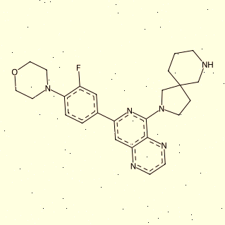 Fc1cc(-c2cc3nccnc3c(N3CCC4(CCCNC4)C3)n2)ccc1N1CCOCC1